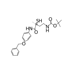 CC(C)(C)OC(=O)NCC[C@](C)(S)C(=O)Nc1ccc(OCc2ccccc2)cc1